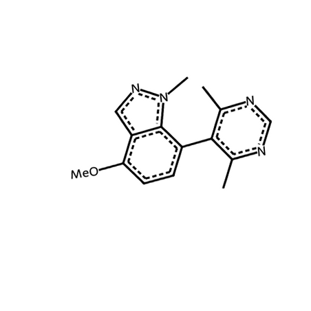 COc1ccc(-c2c(C)ncnc2C)c2c1cnn2C